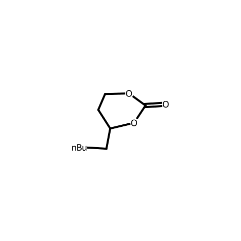 CCCCCC1CCOC(=O)O1